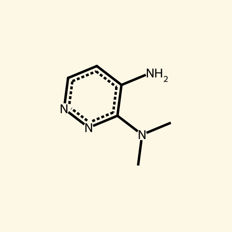 CN(C)c1nnccc1N